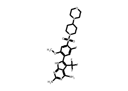 COc1cc(S(=O)(=O)N2CCC(N3CCOCC3)CC2)c(F)cc1-c1[nH]c2nc(N)nc(N)c2c1C(F)(F)F